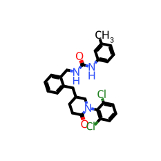 Cc1cccc(NC(=O)NCc2ccccc2CC2CCC(=O)N(c3c(Cl)cccc3Cl)C2)c1